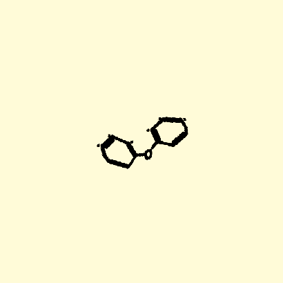 [c]1[c]ccc(Oc2[c][c][c]cc2)[c]1